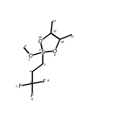 CO[Si]1(CCC(F)(F)F)OC(C)C(C)O1